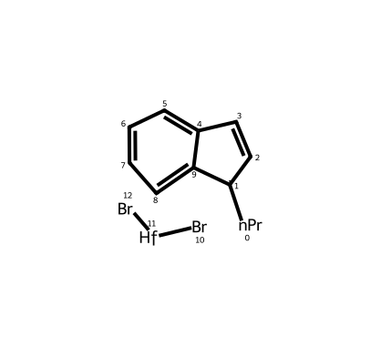 CCC[C]1C=Cc2ccccc21.[Br][Hf][Br]